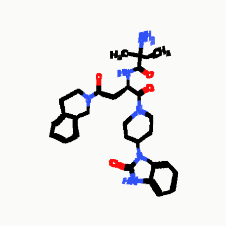 CC(C)(N)C(=O)N[C@H](CC(=O)N1CCc2ccccc2C1)C(=O)N1CCC(n2c(=O)[nH]c3ccccc32)CC1